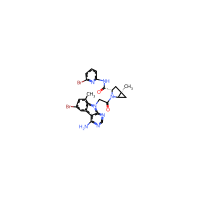 Cc1cc(Br)cc2c3c(N)ncnc3n(CC(=O)N3C4C[C@]4(C)C[C@H]3C(=O)Nc3cccc(Br)n3)c12